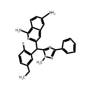 CCc1ccc(F)c(C(c2cc3cc(N)ccc3c(N)n2)c2nc(-c3ccccc3)nn2C)c1